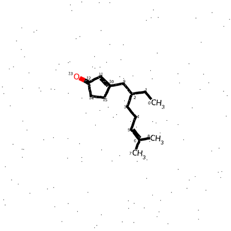 CCC(CCC=C(C)C)CC1=CC(=O)CC1